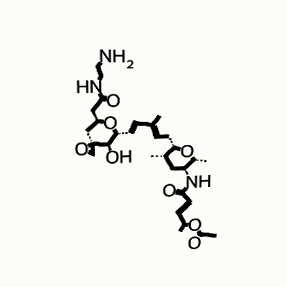 CC(=O)OC(C)C=CC(=O)N[C@@H]1C[C@H](C)[C@H](CC=C(C)C=C[C@H]2O[C@H](CC(=O)NCCN)C[C@@]3(CO3)[C@@H]2O)O[C@@H]1C